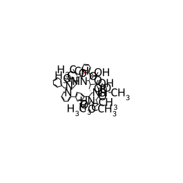 CCOP(=O)(O)O[C@H](OC(=O)O)C(C[C@@H](Cc1ccc(-c2ccccn2)cc1)NC(=O)[C@@H](NC(=O)OC)C(C)(C)C)[C@H](Cc1ccccc1)NC(=O)[C@@H](N1CCN(Cc2ccccc2)C1=O)C(C)(C)C